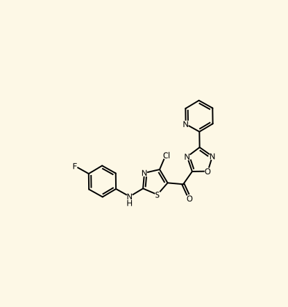 O=C(c1nc(-c2ccccn2)no1)c1sc(Nc2ccc(F)cc2)nc1Cl